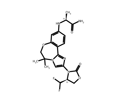 C[C@H](Nc1ccc2c(c1)OCC(C)(C)n1cc(N3C(=O)OC[C@H]3C(F)F)nc1-2)C(N)=O